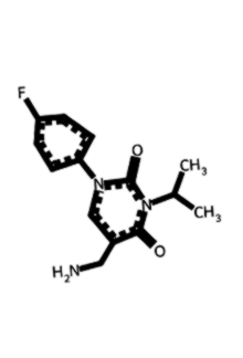 CC(C)n1c(=O)c(CN)cn(-c2ccc(F)cc2)c1=O